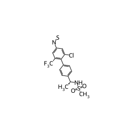 C[C@H](NS(C)(=O)=O)c1ccc(-c2c(Cl)cc(N=S)cc2C(F)(F)F)cc1